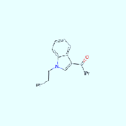 CC(C)CCn1cc(C(=O)C(C)C)c2ccccc21